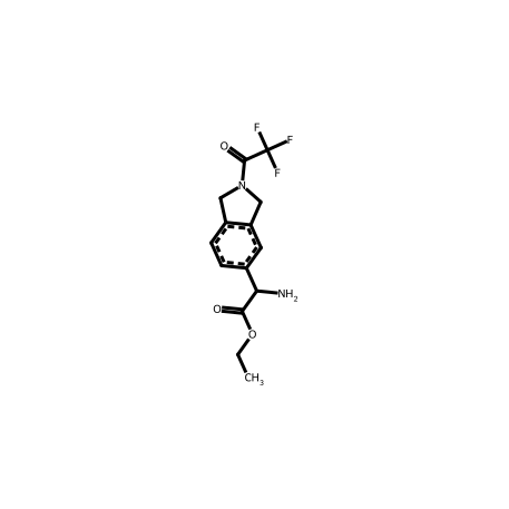 CCOC(=O)C(N)c1ccc2c(c1)CN(C(=O)C(F)(F)F)C2